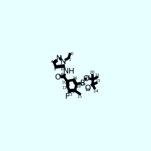 CCn1nccc1NC(=O)c1cc(F)c(C)c(B2OC(C)(C)C(C)(C)O2)c1